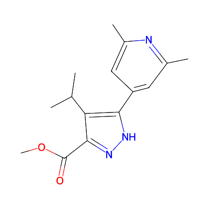 COC(=O)c1n[nH]c(-c2cc(C)nc(C)c2)c1C(C)C